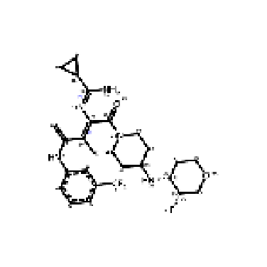 C=C(Nc1cccc(C(F)(F)F)c1)/C(C)=C(\N=C(/N)C1CC1)C(=O)N1CCC(N[C@@H]2CCOC[C@@H]2F)CC1